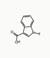 O=C(O)c1cn(F)c2ccccc12